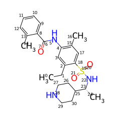 CCc1cc(NC(=O)c2ccccc2C)c(C)cc1S(=O)(=O)N[C@H](C)C1CCNCC1